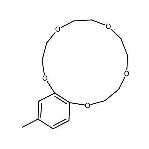 [CH2]c1ccc2c(c1)OCCOCCOCCOCCO2